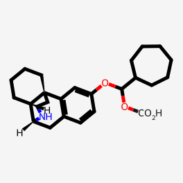 O=C(O)OC(Oc1ccc2c(c1)[C@@]13CCCC[C@H]1[C@@H](C2)NCC3)C1CCCCCC1